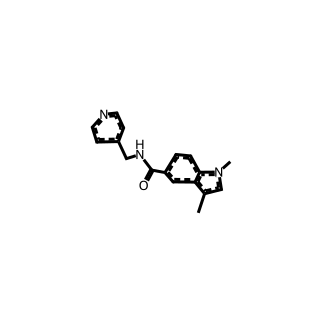 Cc1cn(C)c2ccc(C(=O)NCc3ccncc3)cc12